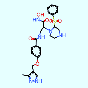 Cc1n[nH]cc1COc1ccc(C(=O)NCC(C(=O)NO)N2CCNCC2S(=O)(=O)c2ccccc2)cc1